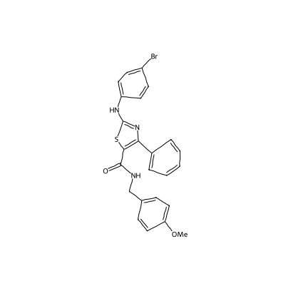 COc1ccc(CNC(=O)c2sc(Nc3ccc(Br)cc3)nc2-c2ccccc2)cc1